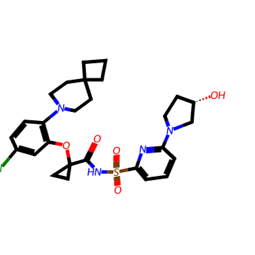 O=C(NS(=O)(=O)c1cccc(N2CC[C@H](O)C2)n1)C1(Oc2cc(Cl)ccc2N2CCC3(CCC3)CC2)CC1